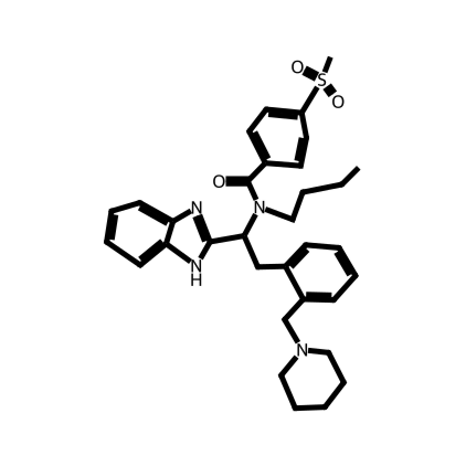 CCCCN(C(=O)c1ccc(S(C)(=O)=O)cc1)C(Cc1ccccc1CN1CCCCC1)c1nc2ccccc2[nH]1